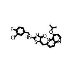 CC(C)Oc1ccnc2ccc(C=C3SC(NCc4ccc(F)c(Cl)c4)=NC3=O)nc12